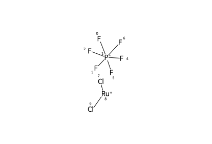 F[P-](F)(F)(F)(F)F.[Cl][Ru+][Cl]